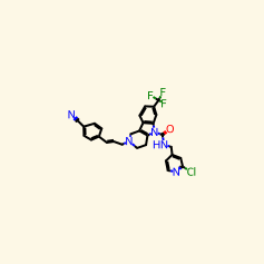 N#Cc1ccc(C=CCN2CCc3c(c4ccc(C(F)(F)F)cc4n3C(=O)NCc3ccnc(Cl)c3)C2)cc1